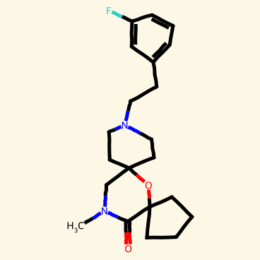 CN1CC2(CCN(CCc3cccc(F)c3)CC2)OC2(CCCC2)C1=O